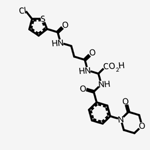 O=C(CCNC(=O)c1ccc(Cl)s1)NC(NC(=O)c1cccc(N2CCOCC2=O)c1)C(=O)O